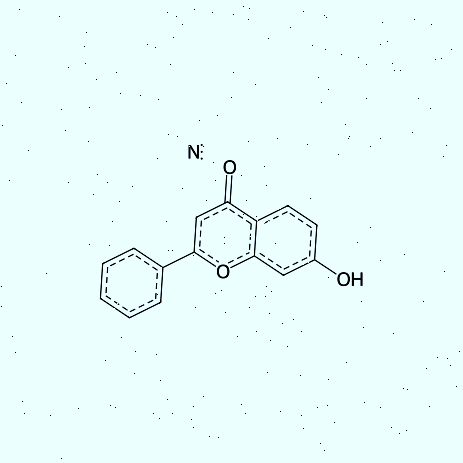 O=c1cc(-c2ccccc2)oc2cc(O)ccc12.[N]